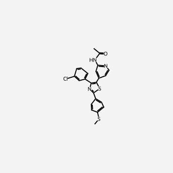 CSc1ccc(-c2nc(-c3cccc(Cl)c3)c(-c3ccnc(NC(C)=O)c3)s2)cc1